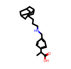 CC(C(=O)O)c1ccc(CNCCCC23CC4CC(CC(C4)C2)C3)cc1